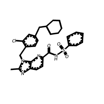 Cc1nc2ccc(C(=O)NS(=O)(=O)c3ccccc3)nc2n1Cc1ccc(CC2CCCCC2)cc1Cl